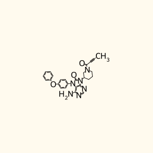 CC#CC(=O)N1CCCC(n2c(=O)n(-c3ccc(Oc4ccccc4)cc3)c3c(N)ncnc32)C1